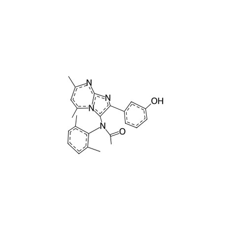 CC(=O)N(c1c(C)cccc1C)c1c(-c2cccc(O)c2)nc2nc(C)cc(C)n12